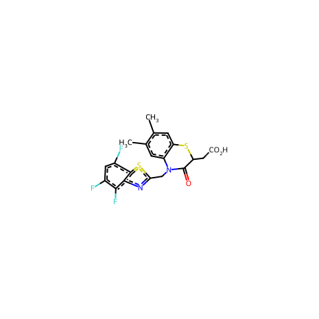 Cc1cc2c(cc1C)N(Cc1nc3c(F)c(F)cc(F)c3s1)C(=O)C(CC(=O)O)S2